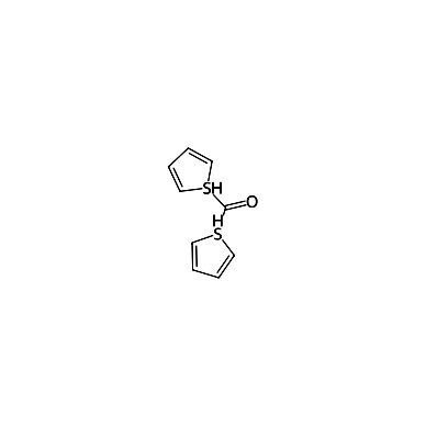 O=C([SH]1C=CC=C1)[SH]1C=CC=C1